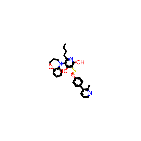 CCCCc1nc(O)c(SOc2ccc(-c3cccnc3C)cc2)c(O)c1N1CCCOc2ccccc21